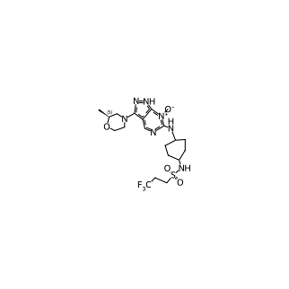 C[C@H]1CN(c2n[nH]c3c2cnc(NC2CCC(NS(=O)(=O)CCC(F)(F)F)CC2)[n+]3[O-])CCO1